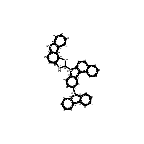 c1ccc2c(c1)ccc1c2c2cc(-n3c4ccccc4c4ccccc43)ccc2n1C1Nc2ccc3sc4ccccc4c3c2S1